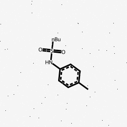 [CH2]CCCS(=O)(=O)Nc1ccc(C)cc1